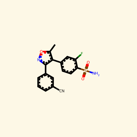 Cc1onc(-c2cccc(C#N)c2)c1-c1ccc(S(N)(=O)=O)c(F)c1